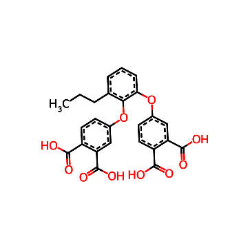 CCCc1cccc(Oc2ccc(C(=O)O)c(C(=O)O)c2)c1Oc1ccc(C(=O)O)c(C(=O)O)c1